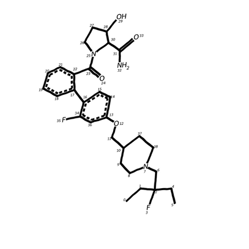 CCC(F)(CC)CN1CCC(COc2ccc(-c3ccccc3C(=O)N3CCC(O)C3C(N)=O)c(F)c2)CC1